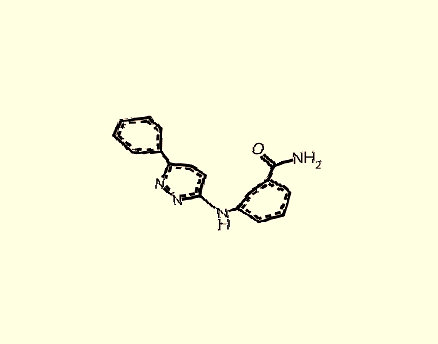 NC(=O)c1cccc(Nc2ccc(-c3ccccc3)nn2)c1